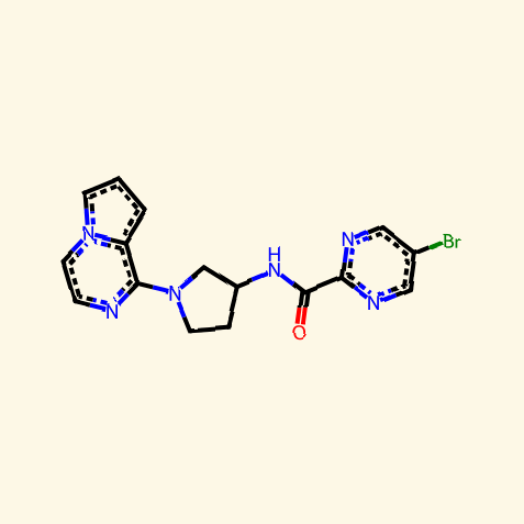 O=C(NC1CCN(c2nccn3cccc23)C1)c1ncc(Br)cn1